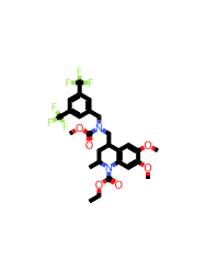 CCOC(=O)N1c2cc(OC)c(OC)cc2C(CN(Cc2cc(C(F)(F)F)cc(C(F)(F)F)c2)C(=O)OC)CC1C